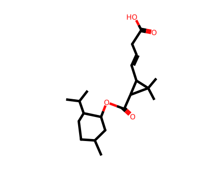 CC1CCC(C(C)C)C(OC(=O)C2C(C=CCC(=O)O)C2(C)C)C1